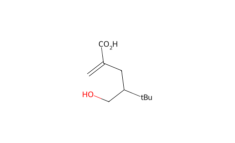 C=C(CC(CO)C(C)(C)C)C(=O)O